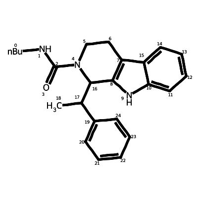 CCCCNC(=O)N1CCc2c([nH]c3ccccc23)C1C(C)c1ccccc1